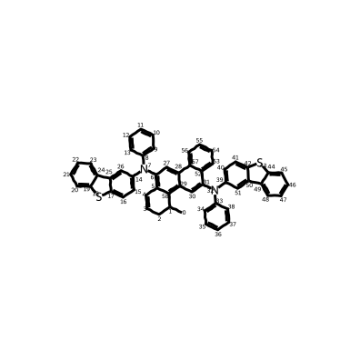 CC1CC=Cc2c(N(c3ccccc3)c3ccc4sc5ccccc5c4c3)cc3c(cc(N(c4ccccc4)c4ccc5sc6ccccc6c5c4)c4ccccc43)c21